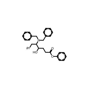 CC(C)CC(C(O)CCC(=O)Oc1ccccc1)N(Cc1ccccc1)Cc1ccccc1